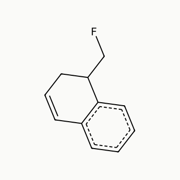 FCC1CC=Cc2ccccc21